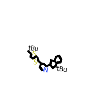 CC(C)(C)Cc1cc2sc(-c3ccnc(-c4cc(C(C)(C)C)c5ccccc5c4)c3)cc2s1